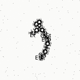 CCC(C)(C)Oc1ccc(C2(c3ccc(OC(=O)C(C)(CC)C(C)(CC)Oc4ccc(C(C)(C)c5ccc(OC(=O)C(C)(C)CC)cc5)cc4)cc3)Cc3cccc4cccc2c34)cc1